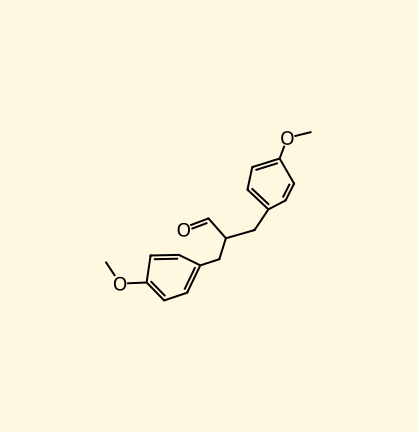 COc1ccc(CC(C=O)Cc2ccc(OC)cc2)cc1